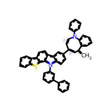 C=C1/C=C(c2ccc3c(c2)c2ccc4c5ccccc5sc4c2n3-c2cccc(-c3ccccc3)c2)\C=C/N(c2ccccc2)c2ccccc21